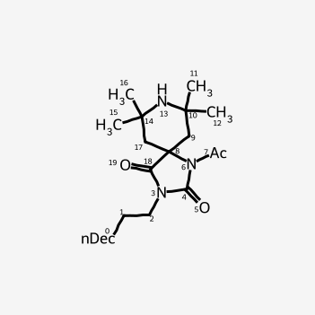 CCCCCCCCCCCCN1C(=O)N(C(C)=O)C2(CC(C)(C)NC(C)(C)C2)C1=O